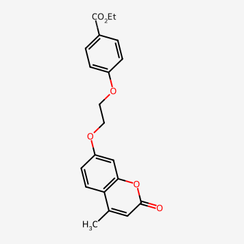 CCOC(=O)c1ccc(OCCOc2ccc3c(C)cc(=O)oc3c2)cc1